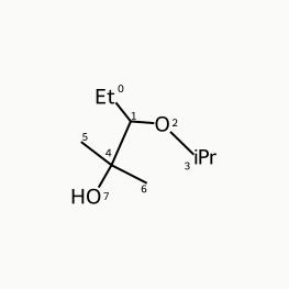 CCC(OC(C)C)C(C)(C)O